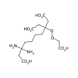 NC(N)(CCCCC(CC(=O)O)(CC(=O)O)OOCC(=O)O)CC(=O)O